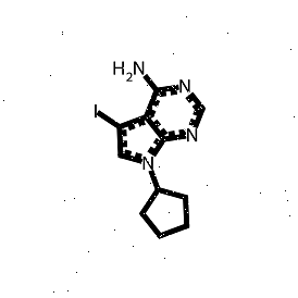 Nc1ncnc2c1c(I)cn2C1CCCC1